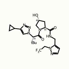 CC(C)(C)[C@@H](C(=O)N1C[C@H](O)C[C@H]1C(=O)NCc1ccnn1CC(F)(F)F)n1cc(C2CC2)nn1